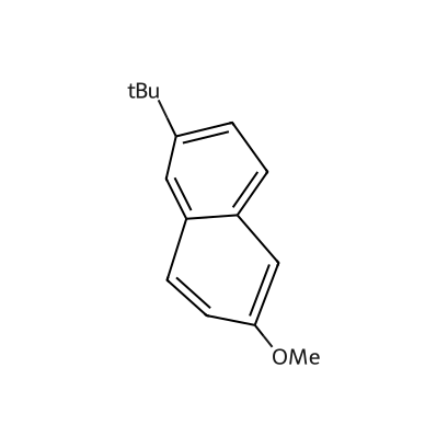 COc1ccc2cc(C(C)(C)C)ccc2c1